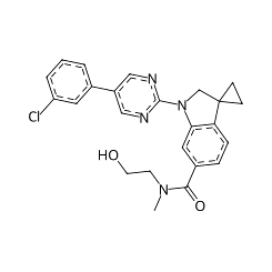 CN(CCO)C(=O)c1ccc2c(c1)N(c1ncc(-c3cccc(Cl)c3)cn1)CC21CC1